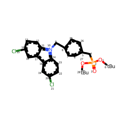 CC(C)(C)OP(=O)(Cc1ccc(Cn2c3ccc(Cl)cc3c3cc(Cl)ccc32)cc1)OC(C)(C)C